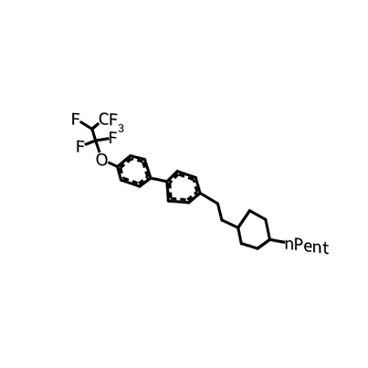 CCCCCC1CCC(CCc2ccc(-c3ccc(OC(F)(F)C(F)C(F)(F)F)cc3)cc2)CC1